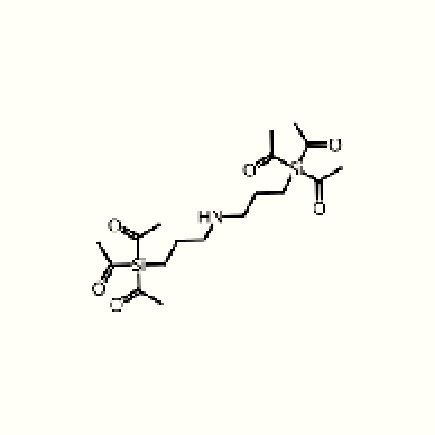 CC(=O)[Si](CCCNCCC[Si](C(C)=O)(C(C)=O)C(C)=O)(C(C)=O)C(C)=O